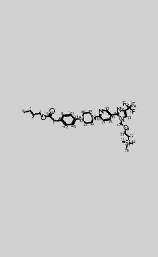 CCCCOC(=O)Cc1ccc(N2CCN(c3ccc(-c4nc(C(F)(F)F)cn4COCC[Si](C)(C)C)cn3)CC2)cc1